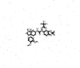 COc1ccc([C@@]23CC[C@@H](NC(=O)N(OC(=O)C(F)(F)F)c4ccc5c(c4)OC(F)(F)O5)C[C@@H]2N(C)CC3)cc1OC